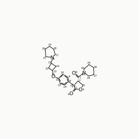 O=C([C@@H]1COC(=O)N1c1ccc(OC2CC(N3CCCCC3)C2)cc1)N1CCCCC1